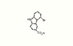 O=C(O)c1ccc2[nH]c3cccc(Br)c3c2c1